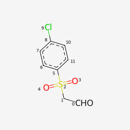 O=CCS(=O)(=O)c1ccc(Cl)cc1